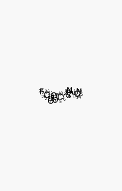 O=S(=O)(Oc1ccc(-c2cnc(-c3cccnc3)s2)cc1)c1ccc(F)cc1